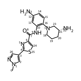 Cn1cc(-c2nc(C(=O)Nc3cc(N)ccc3N3CCC[C@@H](N)C3)cs2)cn1